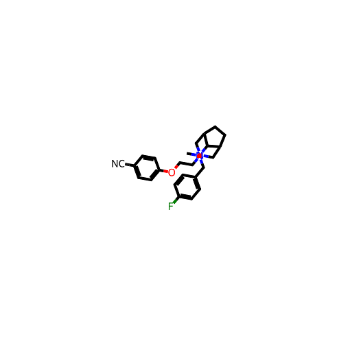 CN(Cc1ccc(F)cc1)C1C2CCC1CN(CCOc1ccc(C#N)cc1)C2